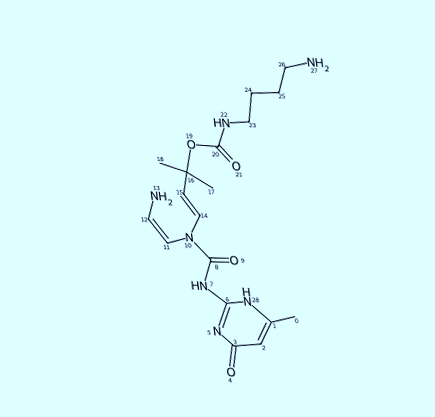 Cc1cc(=O)nc(NC(=O)N(/C=C\N)/C=C/C(C)(C)OC(=O)NCCCCN)[nH]1